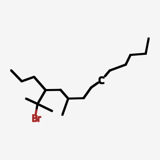 CCCCCCCCC(C)CC(CCC)C(C)(C)Br